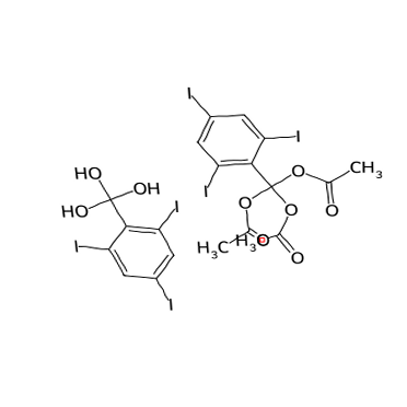 CC(=O)OC(OC(C)=O)(OC(C)=O)c1c(I)cc(I)cc1I.OC(O)(O)c1c(I)cc(I)cc1I